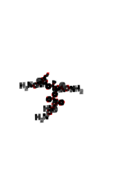 CCC=C1C2CC3(C(=O)N[C@H]4CC[C@H](CN)CC4)CC1CC(c1cccc(C(=C4C5CC6(C(=O)N[C@H]7CC[C@H](CN)CC7)CC4CC(c4ccc(C(=C7C8CC9(C(=O)N[C@H]%10CC[C@H](CN)CC%10)CC7CC(c7ccccc7)(C8)C9)c7ccccc7)cc4)(C5)C6)C4CC4)c1)(C2)C3